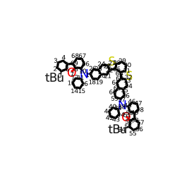 CC(C)(C)c1cccc2c1oc1c(N(c3ccccc3)c3ccc4cc5c(cc4c3)sc3ccc4sc6cc7cc(N(c8ccccc8)c8cccc9c8oc8c(C(C)(C)C)cccc89)ccc7cc6c4c35)cccc12